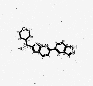 O[C@@H](c1cc2ccc(-c3ccc4[nH]ncc4c3)nc2s1)C1CCOCC1